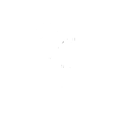 O=C(O)[C@@H](CC(=O)N1Cc2ccccc2C1)Cc1ccccc1